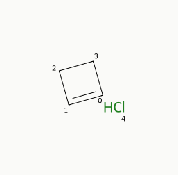 C1=CCC1.Cl